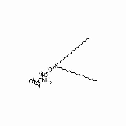 CCCCCCCCCCCCCCCCCCN(CCCCCCCCCCCCCCCCCC)CCOCCOC(=O)C(N)Cc1cncn1C(C)=O